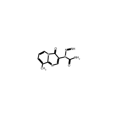 Cc1cccn2c(=O)c(N(N=N)C(N)=O)cnc12